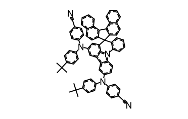 CC(C)(C)c1ccc(N(c2ccc(C#N)cc2)c2ccc3c(c2)c2cc(N(c4ccc(C#N)cc4)c4ccc(C(C)(C)C)cc4)cc4c2n3-c2ccccc2C42c3ccc4ccccc4c3-c3c2ccc2ccccc32)cc1